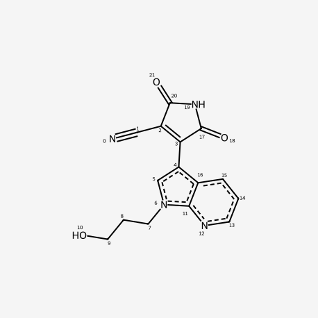 N#CC1=C(c2cn(CCCO)c3ncccc23)C(=O)NC1=O